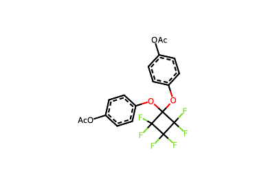 CC(=O)Oc1ccc(OC2(Oc3ccc(OC(C)=O)cc3)C(F)(F)C(F)(F)C2(F)F)cc1